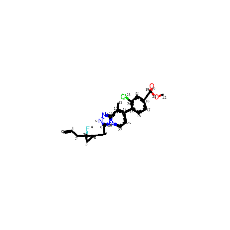 C=CCC1(F)CC1Cc1nnc2c(C)c(-c3ccc(C(=O)OC)cc3Cl)ccn12